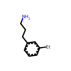 CCc1cccc(CCCN)c1